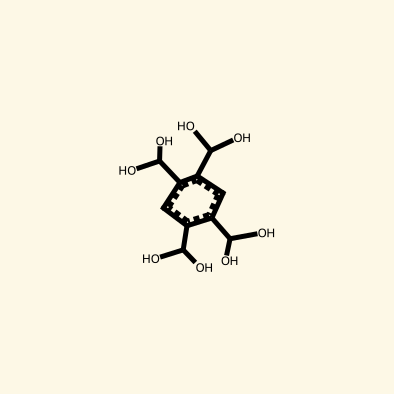 OC(O)c1cc(C(O)O)c(C(O)O)cc1C(O)O